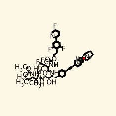 COC(=O)N[C@H](C(=O)NNC[C@H](O)[C@H](Cc1ccc(C#Cc2ccc(N3CC4CCC(C3)N4C3COC3)nc2)cc1)NC(=O)[C@@H](NC(=O)OCCc1c(F)cc(-c2ccc(F)cn2)cc1F)C(C)(C)C(F)(F)F)C(C)(C)C